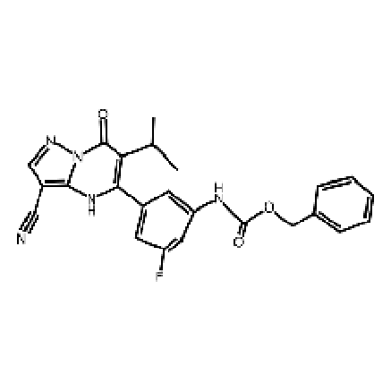 CC(C)c1c(-c2cc(F)cc(NC(=O)OCc3ccccc3)c2)[nH]c2c(C#N)cnn2c1=O